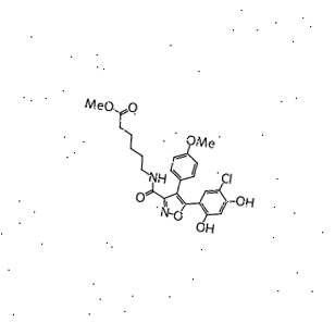 COC(=O)CCCCCNC(=O)c1noc(-c2cc(Cl)c(O)cc2O)c1-c1ccc(OC)cc1